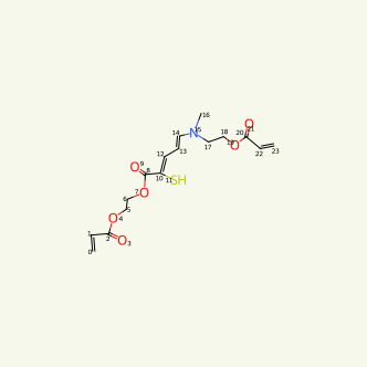 C=CC(=O)OCCOC(=O)/C(S)=C/C=C/N(C)CCOC(=O)C=C